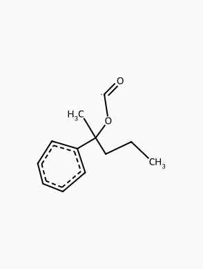 CCCC(C)(O[C]=O)c1ccccc1